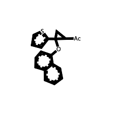 CC(=O)C1CC1(Oc1cccc2ccccc12)c1cccs1